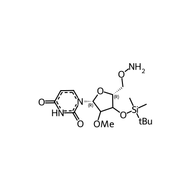 COC1C(O[Si](C)(C)C(C)(C)C)[C@@H](CON)O[C@H]1n1ccc(=O)[nH]c1=O